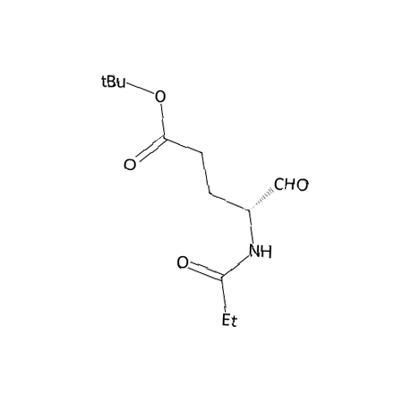 CCC(=O)N[C@@H](C=O)CCC(=O)OC(C)(C)C